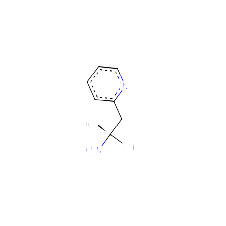 CCC[C@@](C)(N)Cc1ccccn1